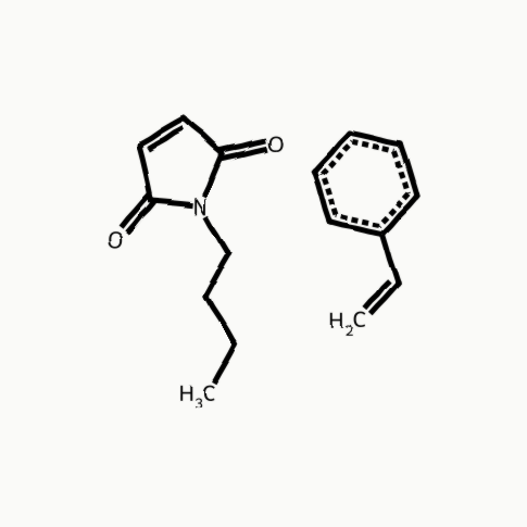 C=Cc1ccccc1.CCCCN1C(=O)C=CC1=O